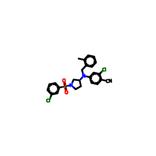 Cc1ccccc1CN(c1ccc(C#N)c(Cl)c1)[C@H]1CCN(S(=O)(=O)c2cccc(Cl)c2)C1